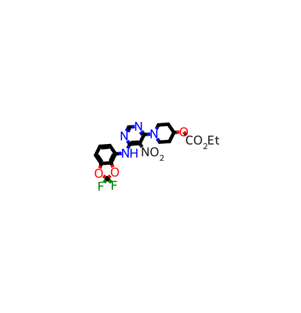 CCOC(=O)OC1CCN(c2ncnc(Nc3cccc4c3OC(F)(F)O4)c2[N+](=O)[O-])CC1